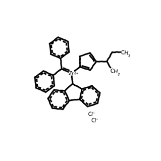 CCC(C)C1=CC[C]([Zr+2](=[C](c2ccccc2)c2ccccc2)[CH]2c3ccccc3-c3ccccc32)=C1.[Cl-].[Cl-]